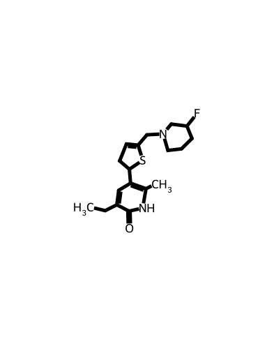 CCc1cc(C2CC=C(CN3CCCC(F)C3)S2)c(C)[nH]c1=O